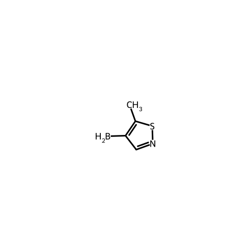 Bc1cnsc1C